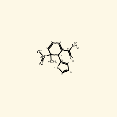 CC1([N+](=O)[O-])C=CC=C(C(N)=O)C1c1cccs1